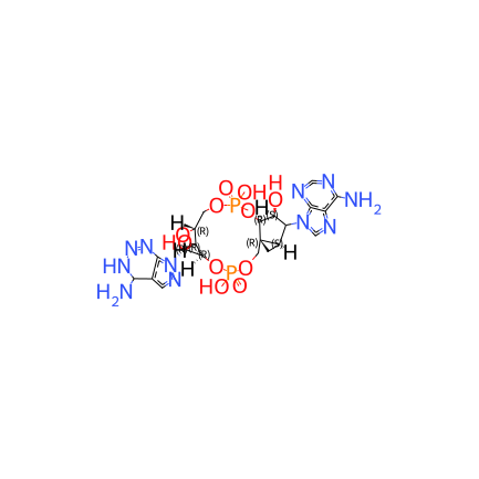 Nc1ncnc2c1ncn2C1[C@H]2C[C@]23COP(=O)(O)O[C@@H]2[C@H](O)[C@@H](COP(=O)(O)O[C@H]3[C@H]1O)O[C@H]2n1ncc2c1N=NNC2N